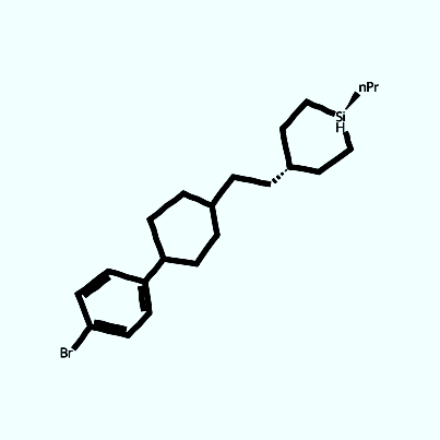 CCC[Si@H]1CC[C@H](CCC2CCC(c3ccc(Br)cc3)CC2)CC1